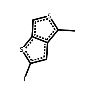 Cc1scc2sc(I)cc12